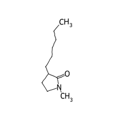 CCCCCCC1CCN(C)C1=O